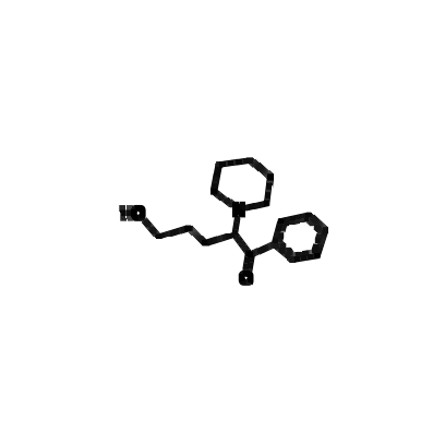 O=C(c1ccccc1)C(CCCO)N1CCCCC1